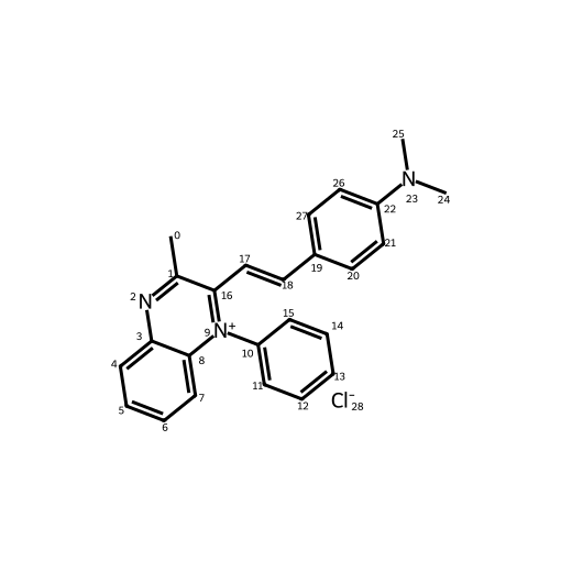 Cc1nc2ccccc2[n+](-c2ccccc2)c1C=Cc1ccc(N(C)C)cc1.[Cl-]